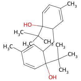 CC1=CC(CC2C=C(C)C=CC2(O)C(C)(C)C)C(O)(C(C)(C)C)C=C1